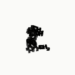 C=CCc1ccccc1S(=O)(=O)c1ccc(C(C)(O)C(F)(F)F)cc1